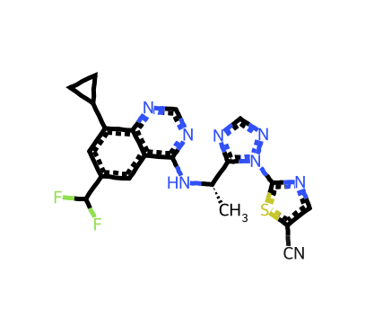 C[C@H](Nc1ncnc2c(C3CC3)cc(C(F)F)cc12)c1ncnn1-c1ncc(C#N)s1